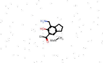 CCC(=O)c1cc2c(c(CN)c1O)CCC2.CNC